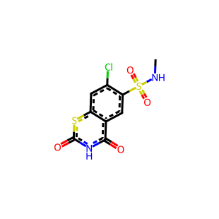 CNS(=O)(=O)c1cc2c(=O)[nH]c(=O)sc2cc1Cl